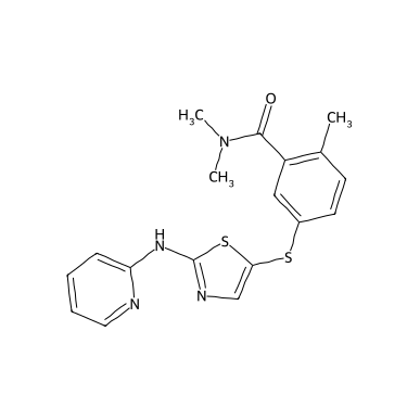 Cc1ccc(Sc2cnc(Nc3ccccn3)s2)cc1C(=O)N(C)C